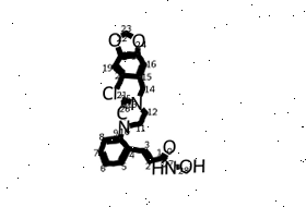 O=C(/C=C/c1ccccc1N1CCN(Cc2cc3c(cc2Cl)OCO3)CC1)NO